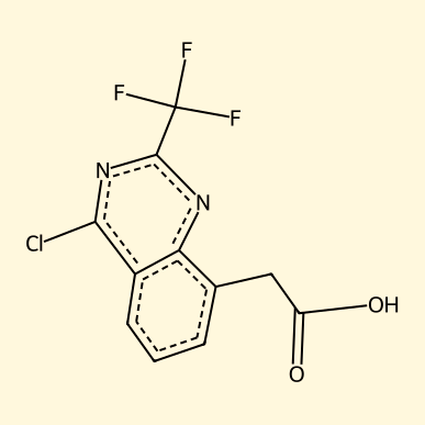 O=C(O)Cc1cccc2c(Cl)nc(C(F)(F)F)nc12